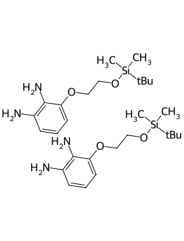 CC(C)(C)[Si](C)(C)OCCOc1cccc(N)c1N.CC(C)(C)[Si](C)(C)OCCOc1cccc(N)c1N